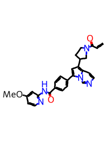 C=CC(=O)N1CCC(c2cc(-c3ccc(C(=O)Nc4cc(OC)ccn4)cc3)n3cnccc23)C1